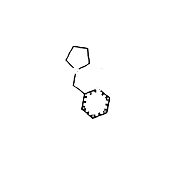 I[C@H]1CCCN1Cc1ccccn1